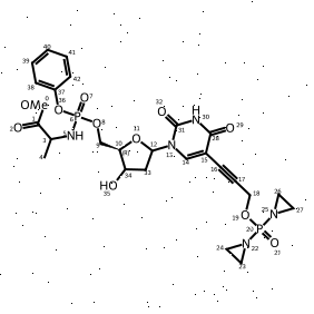 COC(=O)C(C)NP(=O)(OC[C@H]1OC(n2cc(C#CCOP(=O)(N3CC3)N3CC3)c(=O)[nH]c2=O)CC1O)Oc1ccccc1